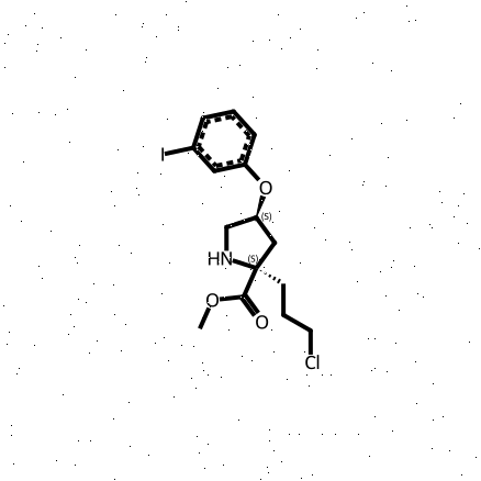 COC(=O)[C@]1(CCCCl)C[C@H](Oc2cccc(I)c2)CN1